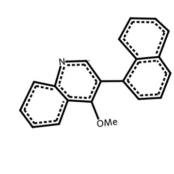 COc1c(-c2cccc3ccccc23)[c]nc2ccccc12